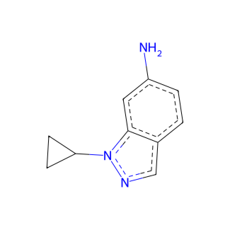 Nc1ccc2cnn(C3CC3)c2c1